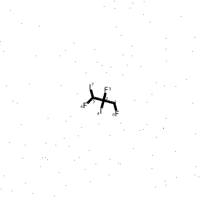 FCC(F)(I)C(F)I